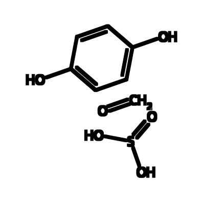 C=O.O=S(O)O.Oc1ccc(O)cc1